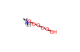 C=C/C(C)=C(/OCCOCCOCCOCCOCCO)N(C)CC